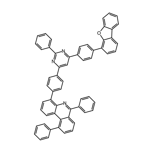 c1ccc(-c2nc(-c3ccc(-c4cccc5c4nc(-c4ccccc4)c4cccc(-c6ccccc6)c45)cc3)cc(-c3ccc(-c4cccc5c4oc4ccccc45)cc3)n2)cc1